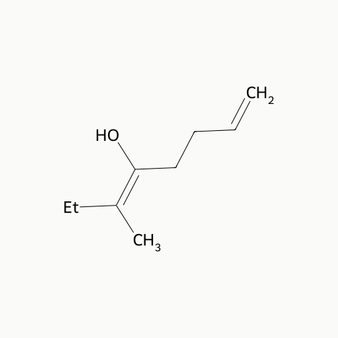 C=CCC/C(O)=C(\C)CC